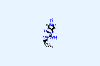 C=CCNC(=N)N(C#N)CC1CCNCC1